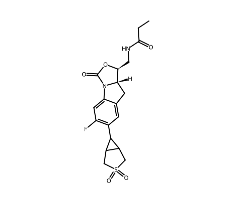 CCC(=O)NC[C@@H]1OC(=O)N2c3cc(F)c(C4C5CS(=O)(=O)CC54)cc3C[C@@H]12